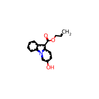 C=CCOC(=O)c1c2ccccc2n2cc(O)ccc12